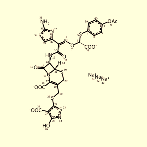 CC(=O)Oc1ccc(S[C@@H](O/N=C(\C(=O)N[C@@H]2C(=O)N3C(C(=O)[O-])=C(CSc4snc(O)c4C(=O)[O-])CS[C@@H]23)c2csc(N)n2)C(=O)[O-])cc1.[Na+].[Na+].[Na+]